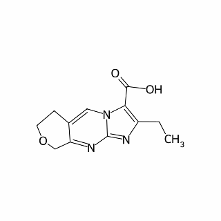 CCc1nc2nc3c(cn2c1C(=O)O)CCOC3